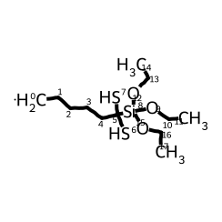 [CH2]CCCCC(S)(S)[Si](OCC)(OCC)OCC